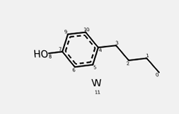 CCCCc1ccc(O)cc1.[W]